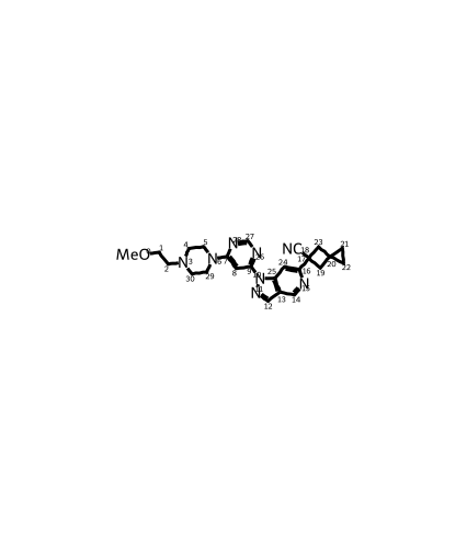 COCCN1CCN(c2cc(-n3ncc4cnc(C5(C#N)CC6(CC6)C5)cc43)ncn2)CC1